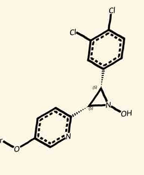 CC(C)Oc1ccc([C@@H]2[C@H](c3ccc(Cl)c(Cl)c3)N2O)nc1